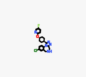 Fc1ccc(O[C@H]2CC[C@H](c3nnc4n3-c3ccc(Cl)cc3CNC4)CC2)nc1